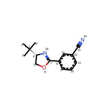 CC(C)(C)[C@H]1COC(c2cccc(C#N)c2)=N1